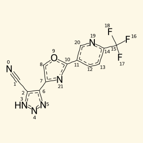 N#Cc1[nH]nnc1-c1coc(-c2ccc(C(F)(F)F)nc2)n1